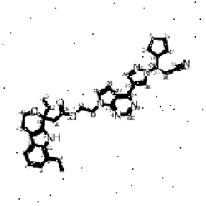 CCc1cccc2c3c([nH]c12)C(CC)(CC(=O)OCCn1ccc2c(-c4cnn([C@H](CC#N)C5CCCC5)c4)ncnc21)OCC3